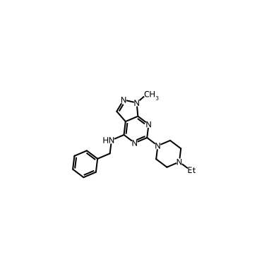 CCN1CCN(c2nc(NCc3ccccc3)c3cnn(C)c3n2)CC1